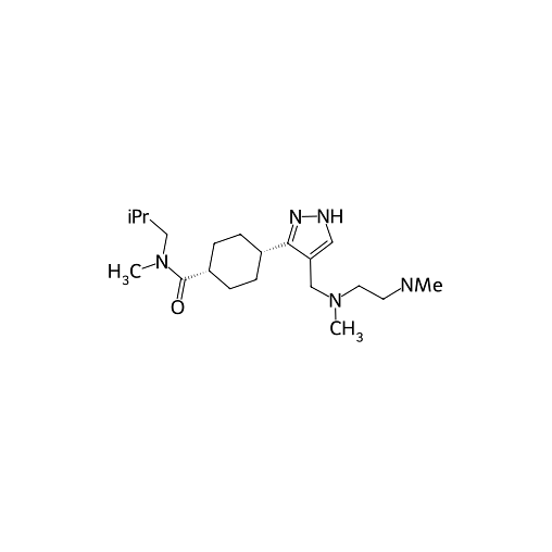 CNCCN(C)Cc1c[nH]nc1[C@H]1CC[C@@H](C(=O)N(C)CC(C)C)CC1